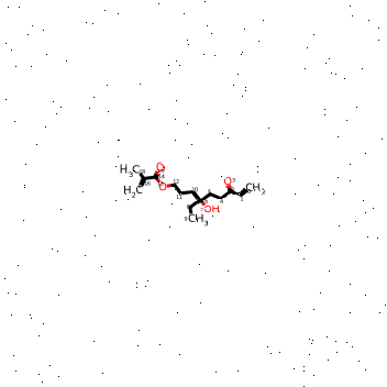 C=CC(=O)C[CH]C(O)(CC)CCCOC(=O)C(=C)C